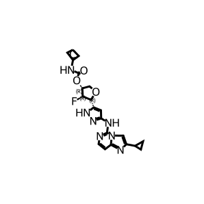 O=C(NC12CC(C1)C2)O[C@@H]1CO[C@H](c2cc(Nc3nccc4nc(C5CC5)cn34)n[nH]2)[C@H]1F